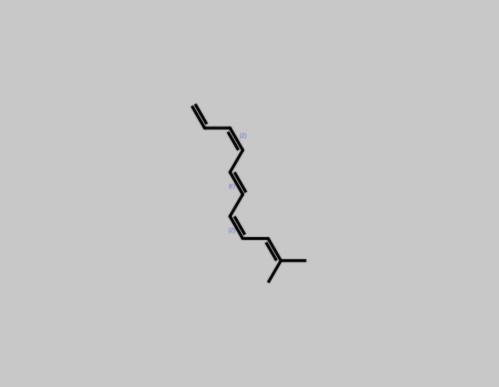 C=C\C=C/C=C/C=C\C=C(C)C